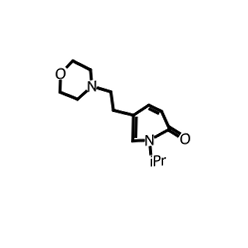 CC(C)n1cc(CCN2CCOCC2)ccc1=O